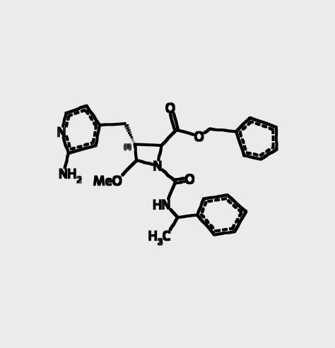 COC1[C@H](Cc2ccnc(N)c2)C(C(=O)OCc2ccccc2)N1C(=O)NC(C)c1ccccc1